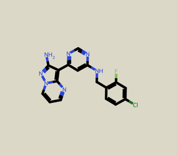 Nc1nn2cccnc2c1-c1cc(NCc2ccc(Cl)cc2F)ncn1